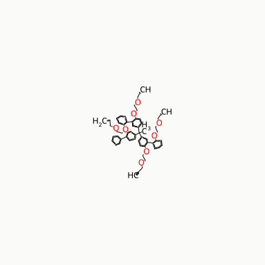 C#CCOCCOc1ccccc1-c1cc(C(C)(c2ccc(-c3ccccc3)cc2)c2ccc(OCCOCC#C)c(-c3ccccc3OCCOCC=C)c2)ccc1OCCOCC#C